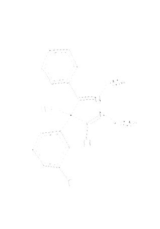 CCC(=NOC)C(C)(C(=NOC)c1ccccc1)c1cccc(F)c1